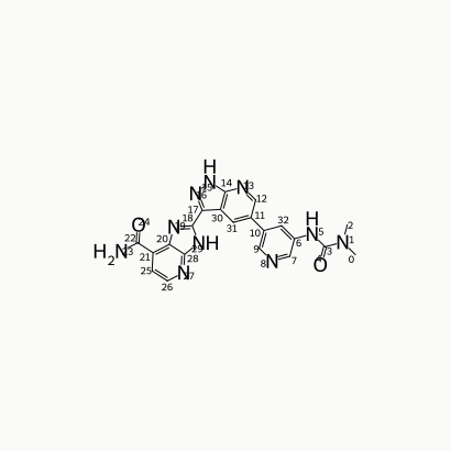 CN(C)C(=O)Nc1cncc(-c2cnc3[nH]nc(-c4nc5c(C(N)=O)ccnc5[nH]4)c3c2)c1